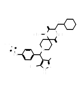 CCCCN1C(=O)[C@@H]([C@H](O)C2CCCCC2)NC(=O)C12CCN(C(c1ccc(NS(C)(=O)=O)cc1)c1c(C)n[nH]c1C)CC2